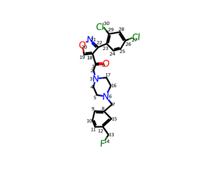 O=C(CN1CCN(Cc2cccc(CF)c2)CC1)c1conc1-c1ccc(Cl)cc1Cl